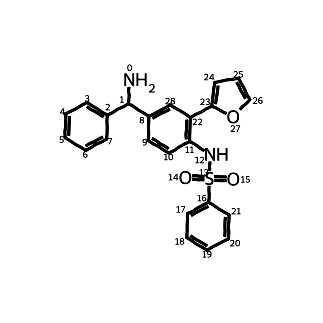 NC(c1ccccc1)c1ccc(NS(=O)(=O)c2ccccc2)c(-c2ccco2)c1